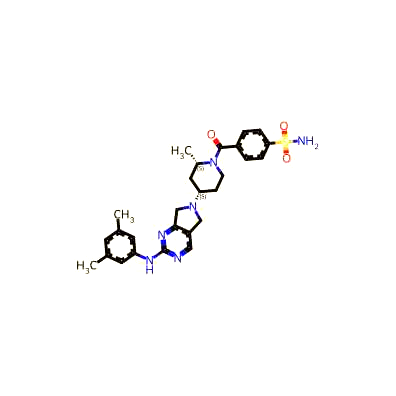 Cc1cc(C)cc(Nc2ncc3c(n2)CN([C@H]2CCN(C(=O)c4ccc(S(N)(=O)=O)cc4)[C@@H](C)C2)C3)c1